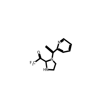 C=C(c1ccccn1)N1CCNC1C(=O)C(F)(F)F